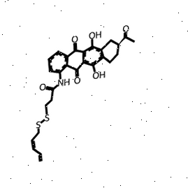 C=C/C=C\CSSCCC(=O)Nc1cccc2c1C(=O)c1c(O)c3c(c(O)c1C2=O)C[C@@H](C(C)=O)CC3